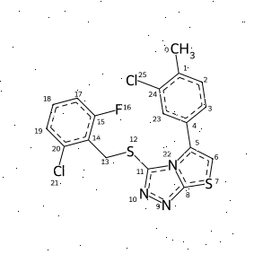 Cc1ccc(-c2csc3nnc(SCc4c(F)cccc4Cl)n23)cc1Cl